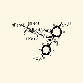 CCCCC[N+](CCCCC)(CCCCC)CCCCC.CCCCC[N+](CCCCC)(CCCCC)CCCCC.O=C(O)c1ccc(S(=O)(=O)c2ccc(C(=O)O)cc2)cc1